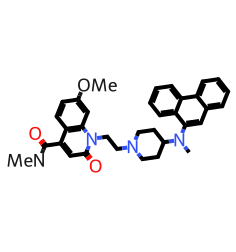 CNC(=O)c1cc(=O)n(CCN2CCC(N(C)c3cc4ccccc4c4ccccc34)CC2)c2cc(OC)ccc12